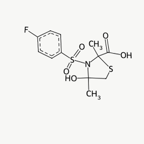 CC1(O)CSC(C)(C(=O)O)N1S(=O)(=O)c1ccc(F)cc1